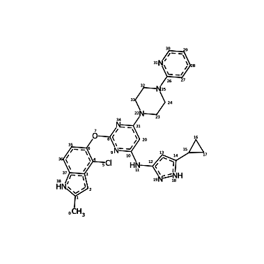 Cc1cc2c(Cl)c(Oc3nc(Nc4cc(C5CC5)[nH]n4)cc(N4CCN(c5ccccn5)CC4)n3)ccc2[nH]1